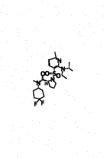 CCN(c1nc(C)ccc1S(=O)(=O)N1CCC[C@H]1C(=O)N(C)C1CCC(F)(F)CC1)C(C)C